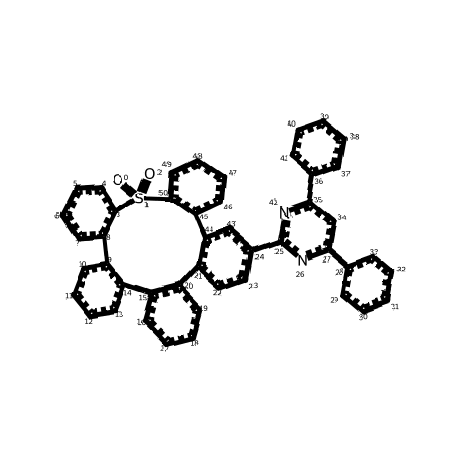 O=S1(=O)c2ccccc2-c2ccccc2-c2ccccc2-c2ccc(-c3nc(-c4ccccc4)cc(-c4ccccc4)n3)cc2-c2ccccc21